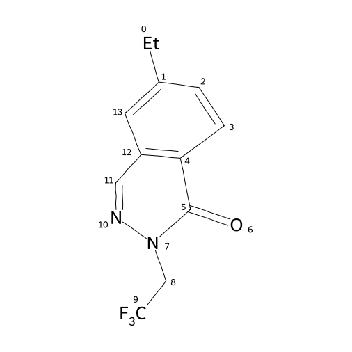 CCc1ccc2c(=O)n(CC(F)(F)F)ncc2c1